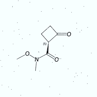 CON(C)C(=O)[C@H]1CCC1=O